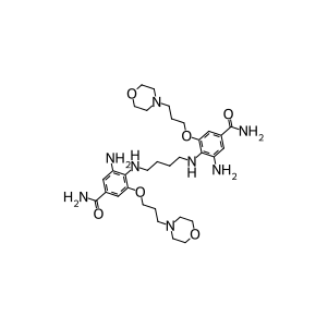 NC(=O)c1cc(N)c(NCCCCNc2c(N)cc(C(N)=O)cc2OCCCN2CCOCC2)c(OCCCN2CCOCC2)c1